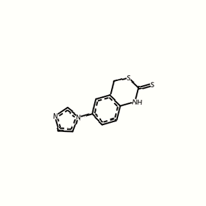 S=C1Nc2ccc(-n3ccnc3)cc2CS1